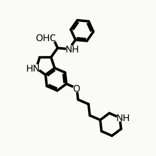 O=CC(Nc1ccccc1)C1CNc2ccc(OCCCC3CCCNC3)cc21